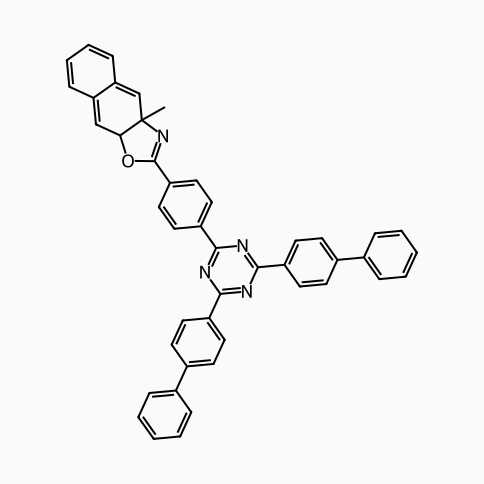 CC12C=c3ccccc3=CC1OC(c1ccc(-c3nc(-c4ccc(-c5ccccc5)cc4)nc(-c4ccc(-c5ccccc5)cc4)n3)cc1)=N2